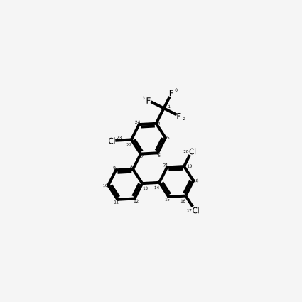 FC(F)(F)c1ccc(-c2c[c]ccc2-c2cc(Cl)cc(Cl)c2)c(Cl)c1